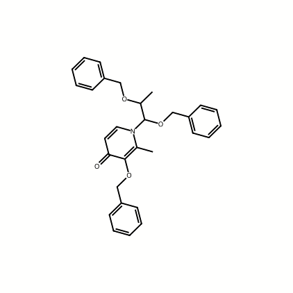 Cc1c(OCc2ccccc2)c(=O)ccn1C(OCc1ccccc1)C(C)OCc1ccccc1